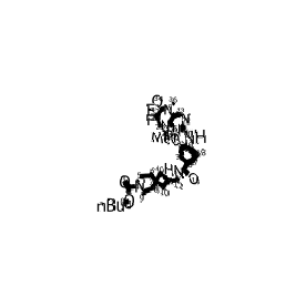 CCCCOC(=O)N1CCC2(CC1)CC(CNC(=O)c1ccc(Nc3ncc4c(n3)N(C(C)C)CC(F)(F)C(=O)N4C)c(OC)c1)C2